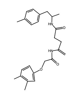 C=C(CCC(=O)NC(C)Cc1ccc(C)cc1)NC(=O)COc1ccc(C)c(C)c1